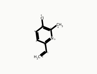 C=Cc1ccc(Cl)c(C)n1